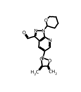 C=C1OB(c2cnc3c(c2)c(C=O)nn3C2CCCCO2)OC1=C